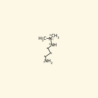 CN(C)NCCCN